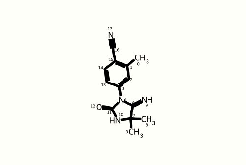 Cc1cc(N2C(=N)C(C)(C)NC2=O)ccc1C#N